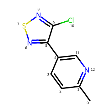 Cc1ccc(-c2nsnc2Cl)cn1